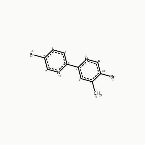 Cc1cc(-c2ccc(Br)cn2)ncc1Br